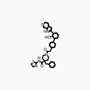 O=C(Cc1ccc(-c2cccc(-c3cc4ccncc4[nH]3)c2O)cc1)N1CCC(Cc2ccccc2)(C(=O)NC2=NCCS2)CC1